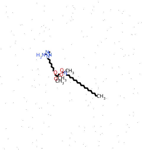 CCCCCCCCCCCCCCCCCCN(C)C(=O)OCC(C)(COCCCCCCCn1ncnc1N)OC